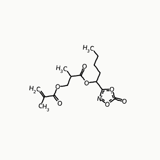 C=C(C)C(=O)OCC(C)C(=O)OC(CCCC)c1noc(=O)o1